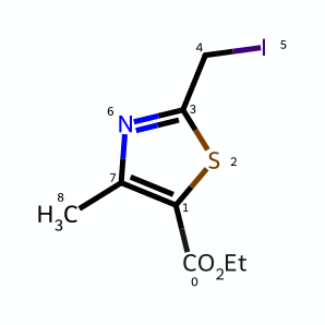 CCOC(=O)c1sc(CI)nc1C